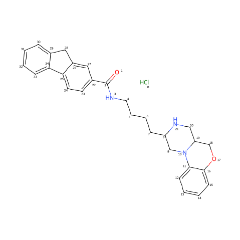 Cl.O=C(NCCCCC1CN2c3ccccc3OCC2CN1)c1ccc2c(c1)Cc1ccccc1-2